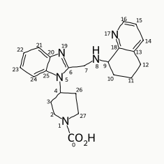 O=C(O)N1CCC(n2c(CNC3CCCc4cccnc43)nc3ccccc32)CC1